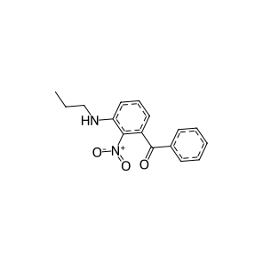 CCCNc1cccc(C(=O)c2ccccc2)c1[N+](=O)[O-]